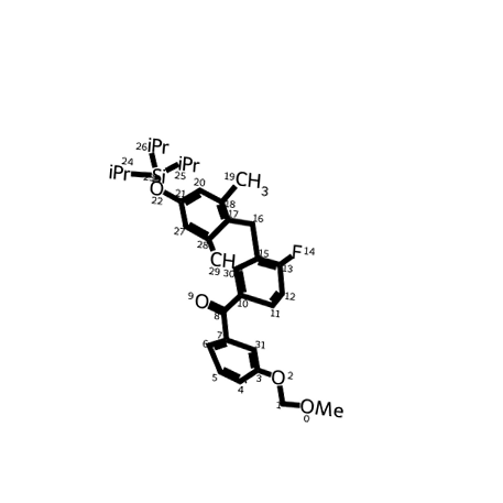 COCOc1[c]ccc(C(=O)c2ccc(F)c(Cc3c(C)cc(O[Si](C(C)C)(C(C)C)C(C)C)cc3C)c2)c1